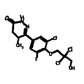 CC1CC(=O)NN=C1c1cc(F)c(OCC(Cl)(Cl)CO)c(Cl)c1